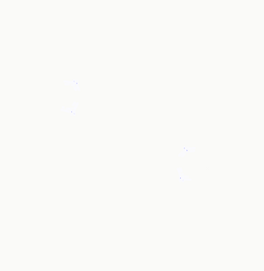 c1cnc(CCSSCCc2ncccn2)nc1